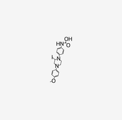 COc1ccc(N2CCN(c3ccc(NC(=O)O)cc3)C(I)C2)cc1